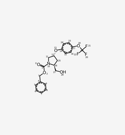 O=C(OCc1ccccc1)N1C[C@H](Oc2ccc(OC(F)(F)F)cc2)C[C@H]1CO